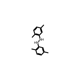 Cc1ccc(C)c(NNc2cc(C)ccc2C)c1